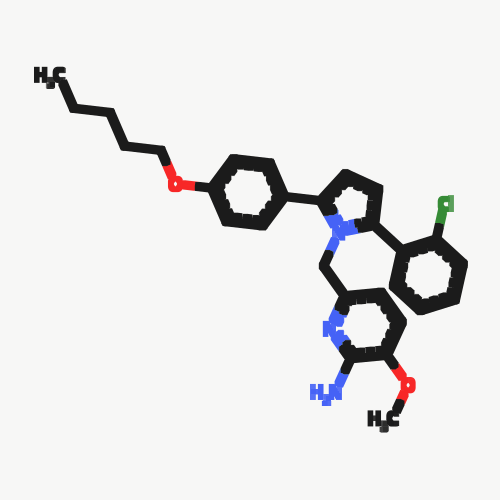 CCCCCOc1ccc(-c2ccc(-c3ccccc3Cl)n2Cc2ccc(OC)c(N)n2)cc1